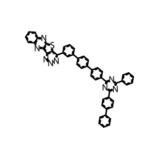 c1ccc(-c2ccc(-c3nc(-c4ccccc4)nc(-c4ccc(-c5ccc(-c6cccc(-c7nnnc8c7sc7nc9ccccc9nc78)c6)cc5)cc4)n3)cc2)cc1